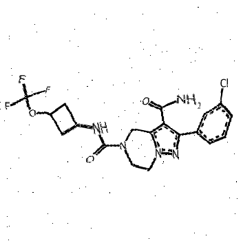 NC(=O)c1c(-c2cccc(Cl)c2)nn2c1CN(C(=O)NC1CC(OC(F)(F)F)C1)CC2